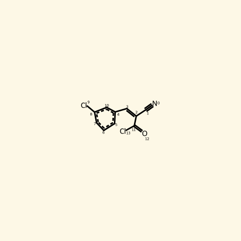 N#CC(=Cc1cccc(Cl)c1)C(=O)Cl